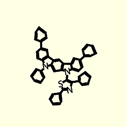 c1ccc(-c2ccc3c(c2)c2cc4c5cc(-c6ccccc6)ccc5n(-c5sc(-c6ccccc6)nc5-c5ccccc5)c4cc2n3-c2ccccc2)cc1